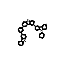 c1ccc(-n2c3ccccc3c3cc(-c4ccc5sc6ccc(-c7cccc(-c8ccc9sc%10ccccc%10c9c8)c7)cc6c5c4)ccc32)cc1